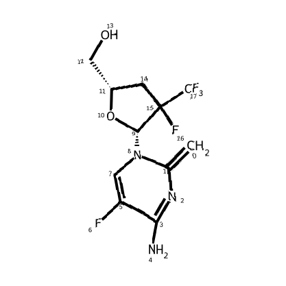 C=C1N=C(N)C(F)=CN1[C@@H]1O[C@H](CO)CC1(F)C(F)(F)F